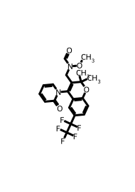 CON(C=O)CC1=C(n2ccccc2=O)c2cc(C(F)(F)C(F)(F)F)ccc2OC1(C)C